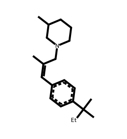 CCC(C)(C)c1ccc(C=C(C)CN2CCCC(C)C2)cc1